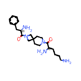 NCCCC[C@@H](N)C(=O)N1CCC2(CC1)CN(C(=O)[C@H](N)Cc1ccccc1)C2